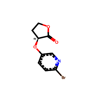 O=C1OCC[C@@H]1Oc1ccc(Br)nc1